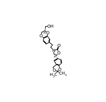 CC1(C)OCc2cc([C@@H]3CN(CCc4ccc5c(c4)O[C@H](CO)CO5)C(=O)O3)ccc2O1